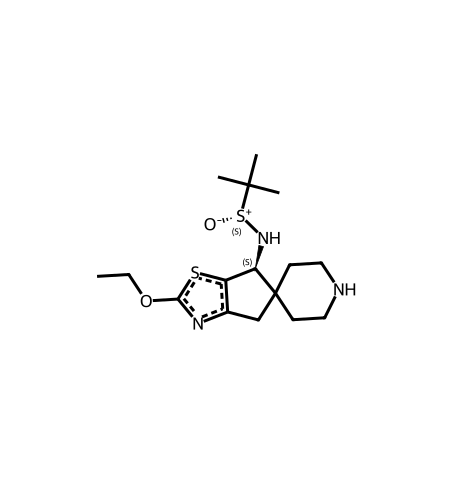 CCOc1nc2c(s1)[C@@H](N[S@+]([O-])C(C)(C)C)C1(CCNCC1)C2